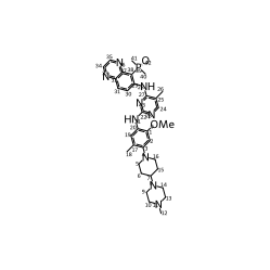 COc1cc(N2CCC(N3CCN(C)CC3)CC2)c(C)cc1Nc1ncc(C)c(Nc2ccc3nccnc3c2P(C)(C)=O)n1